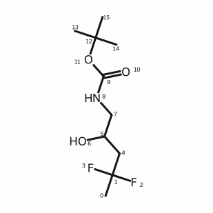 CC(F)(F)CC(O)CNC(=O)OC(C)(C)C